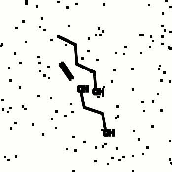 C=C.CCCCO.OCCO